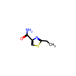 CCc1nc(C(N)=O)cs1